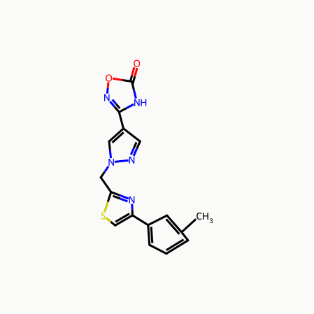 Cc1cccc(-c2csc(Cn3cc(-c4noc(=O)[nH]4)cn3)n2)c1